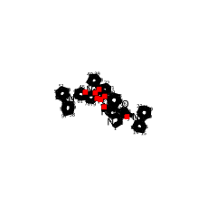 c1cnc2c(c1)[C@@]1(c3ccc(-n4c5ccccc5c5ccccc54)cc3Oc3ccc(-c4ccc5c(c4)c4ccccc4n5-c4ccc(-n5c6ccccc6c6ccccc65)cc4)cc31)c1cc(-n3c4ccccc4c4ccccc43)cnc1-2